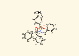 Cc1ccc([P@@](=O)(NCc2ccccc2)OC2c3ccccc3-c3ccccc32)cc1